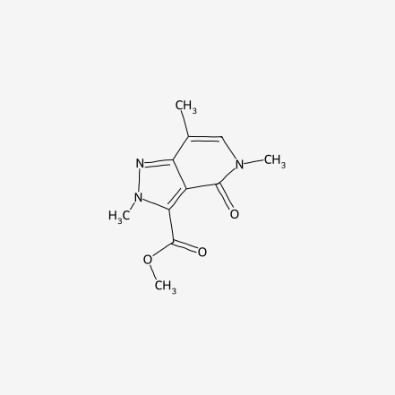 COC(=O)c1c2c(=O)n(C)cc(C)c2nn1C